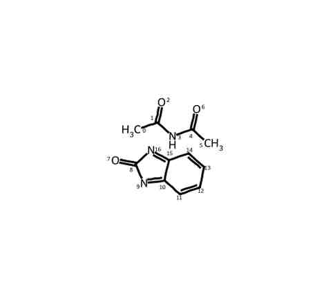 CC(=O)NC(C)=O.O=C1N=c2ccccc2=N1